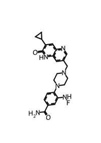 NC(=O)c1ccc(N2CCN(Cc3cnc4cc(C5CC5)c(=O)[nH]c4c3)CC2)c(NF)c1